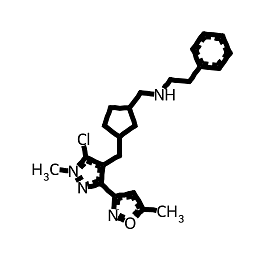 Cc1cc(-c2nn(C)c(Cl)c2CC2CCC(CNCCc3ccccc3)C2)no1